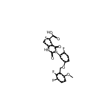 COc1ccc(F)c(F)c1COc1ccc(F)c(-n2c(=O)[nH]c3csc(C(=O)O)c3c2=O)c1